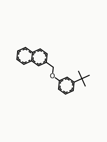 CC(C)(C)c1cccc(OCc2ccc3ccccc3c2)c1